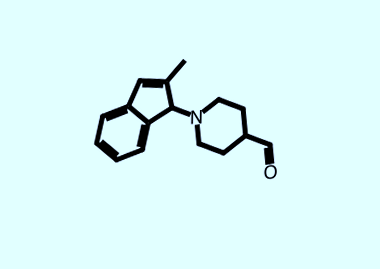 CC1=Cc2ccccc2C1N1CCC(C=O)CC1